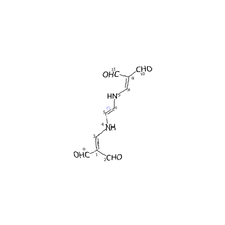 O=CC(C=O)=CN/C=C/NC=C(C=O)C=O